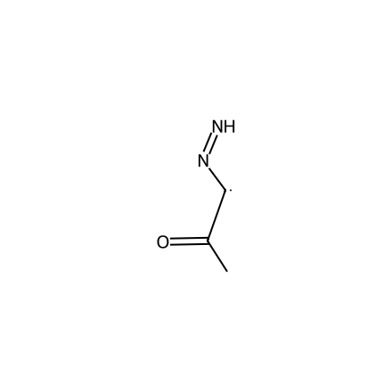 CC(=O)[CH]N=N